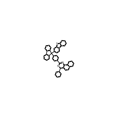 c1ccc(-c2nc(-c3ccc(C4(c5ccc6c(c5)sc5ccccc56)c5ccccc5-c5ccccc54)cc3)nc3c2ccc2ccccc23)cc1